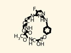 CC12Oc3ccc(cc3NC1=O)Nc1nc(ncc1F)Nc1ccc(cc1)OCC(O)CNC2=O